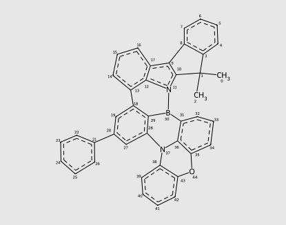 CC1(C)c2ccccc2-c2c1n1c3c(cccc23)-c2cc(-c3ccccc3)cc3c2B1c1cccc2c1N3c1ccccc1O2